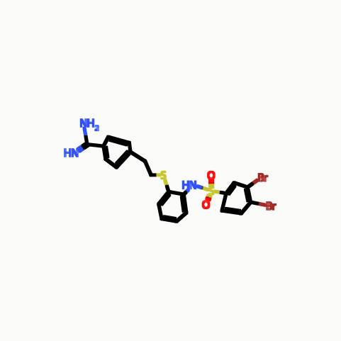 N=C(N)c1ccc(CCSc2ccccc2NS(=O)(=O)c2ccc(Br)c(Br)c2)cc1